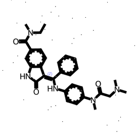 CCN(C)C(=O)c1ccc2c(c1)NC(=O)/C2=C(\Nc1ccc(N(C)C(=O)CN(C)C)cc1)c1ccccc1